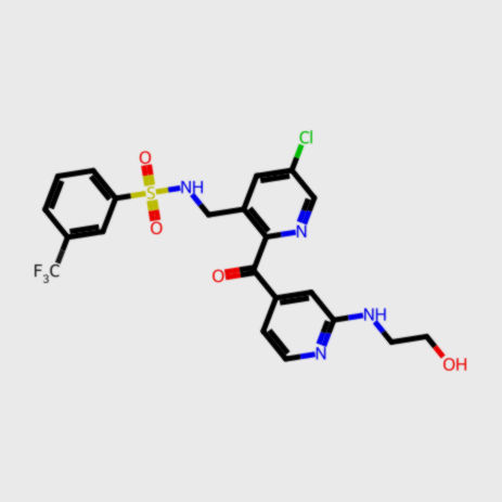 O=C(c1ccnc(NCCO)c1)c1ncc(Cl)cc1CNS(=O)(=O)c1cccc(C(F)(F)F)c1